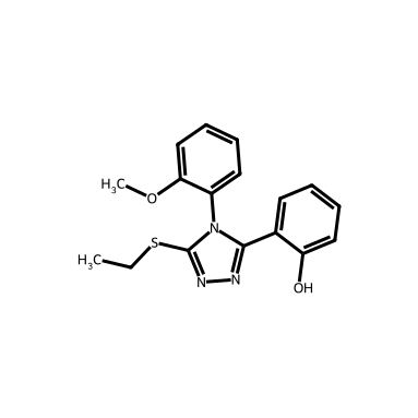 CCSc1nnc(-c2ccccc2O)n1-c1ccccc1OC